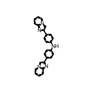 c1ccn2cc(-c3ccc(Nc4ccc(-c5cn6ccccc6n5)cc4)cc3)nc2c1